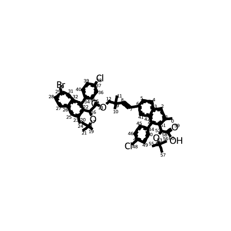 Cc1cc2ccc(C#CC(C)(C)COC(=O)C(OC(C)(C)C)c3c(C)cc4ccc(Br)cc4c3-c3ccc(Cl)cc3)cc2c(-c2ccc(Cl)cc2)c1C(OC(C)(C)C)C(=O)O